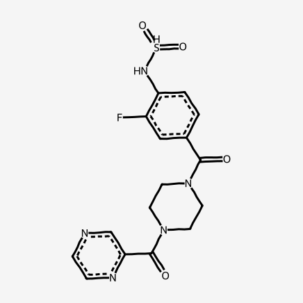 O=C(c1ccc(N[SH](=O)=O)c(F)c1)N1CCN(C(=O)c2cnccn2)CC1